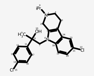 CC(C)N1CCc2c(n(CC(C)(O)c3ccc(Cl)cc3)c3ccc(Cl)cc23)C1